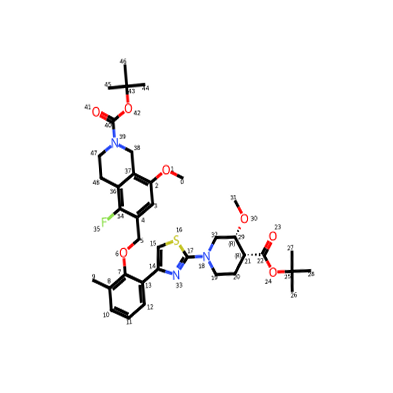 COc1cc(COc2c(C)cccc2-c2csc(N3CC[C@@H](C(=O)OC(C)(C)C)[C@@H](OC)C3)n2)c(F)c2c1CN(C(=O)OC(C)(C)C)CC2